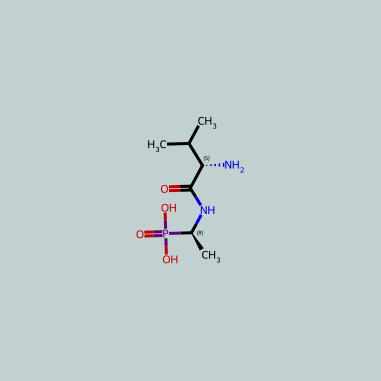 CC(C)[C@H](N)C(=O)N[C@@H](C)P(=O)(O)O